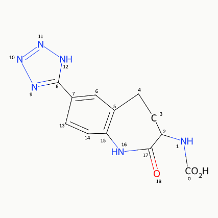 O=C(O)NC1CCc2cc(-c3nnn[nH]3)ccc2NC1=O